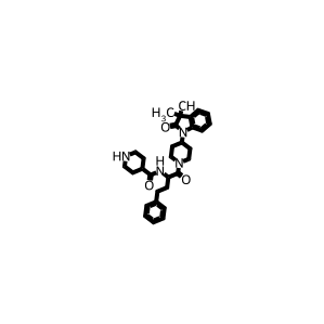 CC1(C)C(=O)N(C2CCN(C(=O)C(CCc3ccccc3)NC(=O)C3CCNCC3)CC2)c2ccccc21